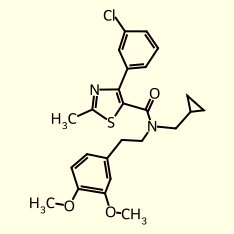 COc1ccc(CCN(CC2CC2)C(=O)c2sc(C)nc2-c2cccc(Cl)c2)cc1OC